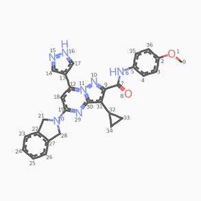 COc1ccc(NC(=O)c2nn3c(-c4cn[nH]c4)cc(N4Cc5ccccc5C4)nc3c2C2CC2)cc1